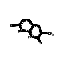 Cc1cc2ccc(=O)[nH]c2[nH]c1=O